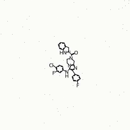 O=C([C@@H]1Cc2ccccc2N1)N1CCn2c(nc(-c3ccc(F)cc3)c2Nc2ccc(Cl)c(F)c2)C1